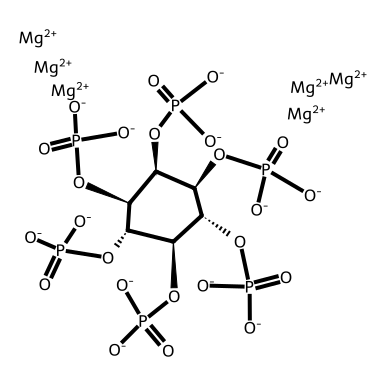 O=P([O-])([O-])O[C@H]1[C@H](OP(=O)([O-])[O-])[C@@H](OP(=O)([O-])[O-])[C@H](OP(=O)([O-])[O-])[C@@H](OP(=O)([O-])[O-])[C@H]1OP(=O)([O-])[O-].[Mg+2].[Mg+2].[Mg+2].[Mg+2].[Mg+2].[Mg+2]